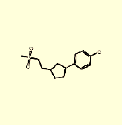 CS(=O)(=O)CCC1CC[C@H](c2ccc(Cl)cc2)C1